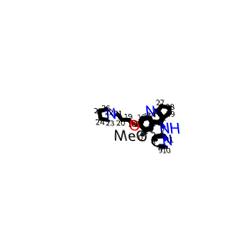 COc1cc2c(Nc3ccccn3)c3c(nc2cc1OCCCN1CCCC1)CCC3